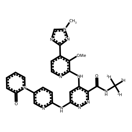 [2H]C([2H])([2H])NC(=O)c1nnc(Nc2ccc(-n3ccccc3=O)cn2)cc1Nc1nccc(-c2ncn(C)n2)c1OC